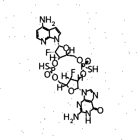 Nc1nc2c(ncn2[C@@H]2O[C@@H]3CO[P@@](=O)(S)O[C@H]4[C@H](F)[C@H](n5ccc6c(N)ccnc65)O[C@@H]4CO[P@@](=O)(S)O[C@@H]2[C@H]3F)c(=O)[nH]1